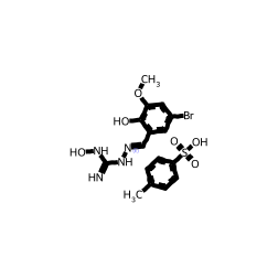 COc1cc(Br)cc(/C=N/NC(=N)NO)c1O.Cc1ccc(S(=O)(=O)O)cc1